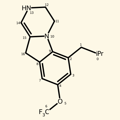 CC(C)Cc1cc(OC(F)(F)F)cc2c1N1CCNC=C1C2